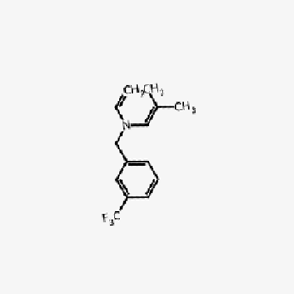 C=CN(C=C(C)C)Cc1cccc(C(F)(F)F)c1